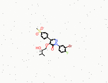 CC(C)[C@H](O)COc1c(-c2ccc(S(C)(=O)=O)cc2)cnn(-c2ccc(F)c(Br)c2)c1=O